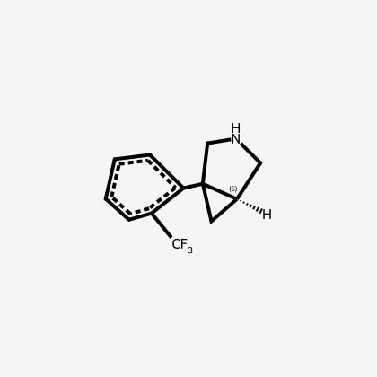 FC(F)(F)c1ccccc1C12CNC[C@H]1C2